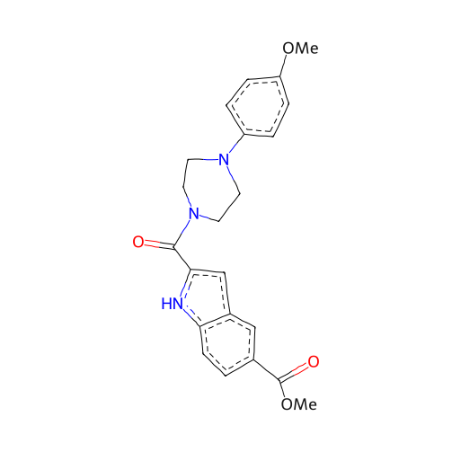 COC(=O)c1ccc2[nH]c(C(=O)N3CCN(c4ccc(OC)cc4)CC3)cc2c1